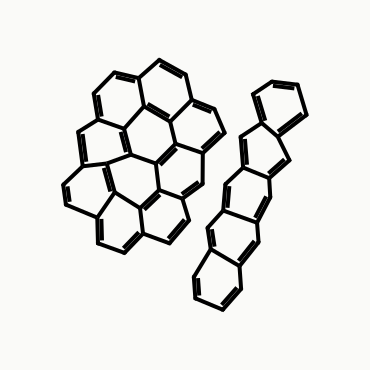 c1cc2ccc3cc4ccc5ccc6ccc7cc8ccc1c1c2c3c2c4c5c6c7c2c81.c1ccc2cc3cc4cc5ccccc5cc4cc3cc2c1